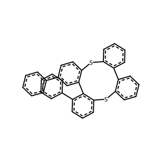 c1ccc(-c2ccc3c(c2)-c2c(cccc2-c2ccccc2)Sc2ccccc2-c2ccccc2S3)cc1